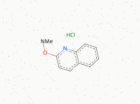 CNOc1ccc2ccccc2n1.Cl